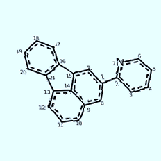 [c]1c(-c2ccccn2)cc2cccc3c2c1-c1ccccc1-3